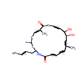 CCC/C=C/CC1CC(I)C/C=C(\C)C(=O)C/C=C\C(O)C(O)\C=C(C)/C=C/C=C/C(=O)N1